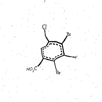 O=C(O)c1cc(Cl)c(Br)c(F)c1Br